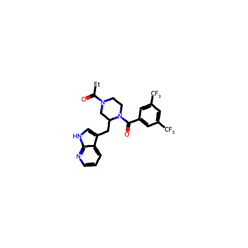 CCC(=O)N1CCN(C(=O)c2cc(C(F)(F)F)cc(C(F)(F)F)c2)C(Cc2c[nH]c3ncccc23)C1